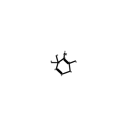 CC(=O)C1=C(C)CC=CC1(C)C